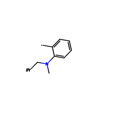 [CH2]c1ccccc1N(C)CC(C)C